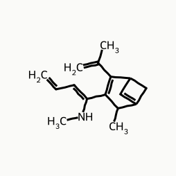 C=C/C=C(\NC)C1=C(C(=C)C)C2C=C(C2)C1C